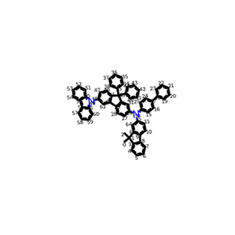 CC1(C)c2ccccc2-c2ccc(N(c3ccc(-c4ccccc4)cc3)c3ccc4c(c3)C(c3ccccc3)(c3ccccc3)c3ccc(-n5c6ccccc6c6ccccc65)cc3-4)cc21